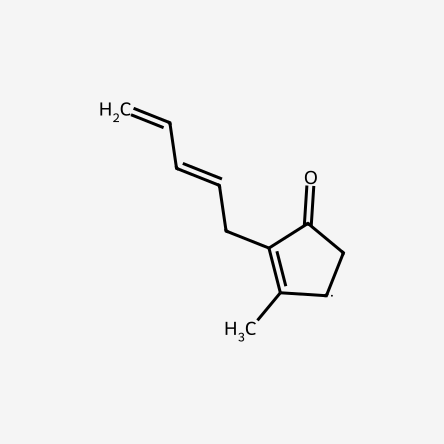 C=CC=CCC1=C(C)[CH]CC1=O